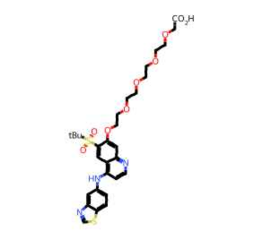 CC(C)(C)S(=O)(=O)c1cc2c(Nc3ccc4scnc4c3)ccnc2cc1OCCOCCOCCOCCOCC(=O)O